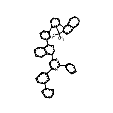 CC1(C)c2ccc3ccccc3c2-c2cccc(-c3cccc(-c4ccc(-c5cc(-c6cccc(-c7ccccc7)c6)nc(-c6ccccc6)n5)c5ccccc45)c3)c21